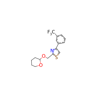 FC(F)(F)c1cccc(-c2csc(COC3CCCCO3)n2)c1